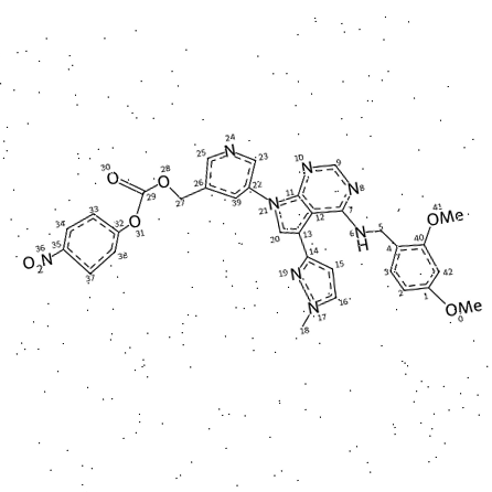 COc1ccc(CNc2ncnc3c2c(-c2ccn(C)n2)cn3-c2cncc(COC(=O)Oc3ccc([N+](=O)[O-])cc3)c2)c(OC)c1